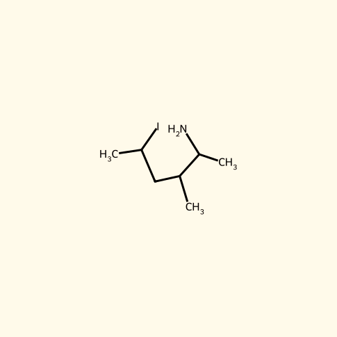 CC(I)CC(C)C(C)N